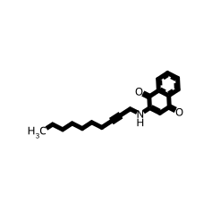 CCCCCCCC#CCNC1=CC(=O)c2ccccc2C1=O